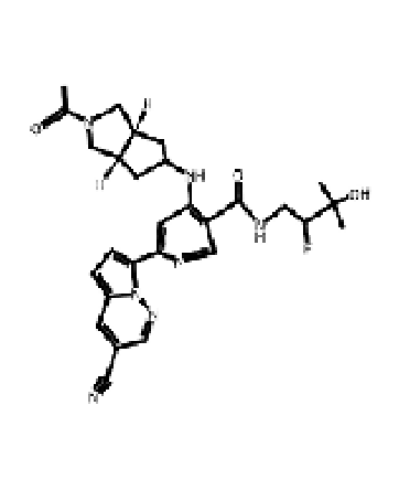 CC(=O)N1C[C@H]2CC(Nc3cc(-c4ccc5cc(C#N)cnn45)ncc3C(=O)NCC(F)C(C)(C)O)C[C@H]2C1